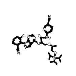 CC(CO[Si](C(C)C)(C(C)C)C(C)C)OCC(Oc1ncnc2c1cnn2-c1c(Cl)cccc1C#N)C(=O)Nc1ccc(C#N)cn1